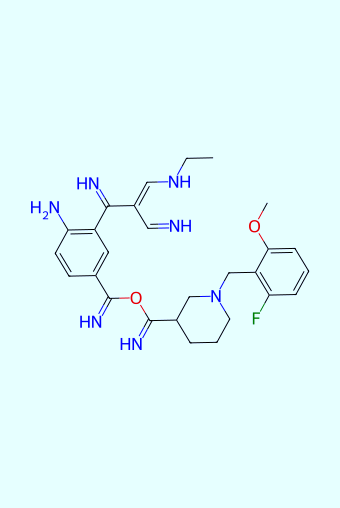 CCN/C=C(\C=N)C(=N)c1cc(C(=N)OC(=N)C2CCCN(Cc3c(F)cccc3OC)C2)ccc1N